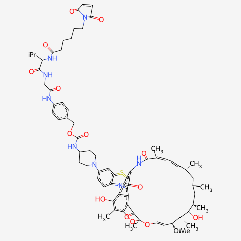 CO[C@H]1/C=C/O[C@@]2(C)Oc3c(C)c(O)c4c(=O)c(c5sc6cc(N7CCC(NC(=O)OCc8ccc(NC(=O)CNC(=O)C(NC(=O)CCCCCN9C(=O)C=CC9=O)C(C)C)cc8)CC7)ccc6nc-5c4c3C2=O)NC(=O)/C(C)=C\C=C\[C@H](C)C[C@@H](C)C[C@@H](C)[C@H](O)[C@@H]1C